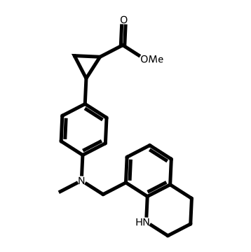 COC(=O)C1CC1c1ccc(N(C)Cc2cccc3c2NCCC3)cc1